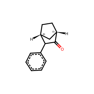 O=C1C(c2ccccc2)[C@@H]2CC[C@H]1C2